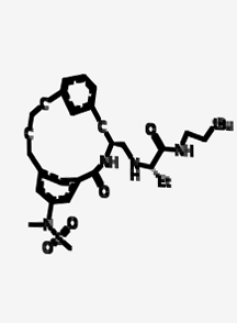 CC[C@H](NC[C@@H]1Cc2cccc(c2)CCCCc2cc(cc(N(C)S(C)(=O)=O)c2)C(=O)N1)C(=O)NCCC(C)(C)C